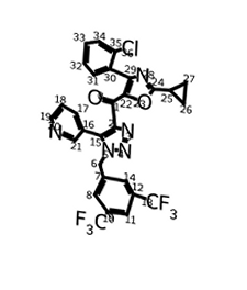 O=C(c1nnn(Cc2cc(C(F)(F)F)cc(C(F)(F)F)c2)c1-c1cccnc1)c1oc(C2CC2)nc1-c1ccccc1Cl